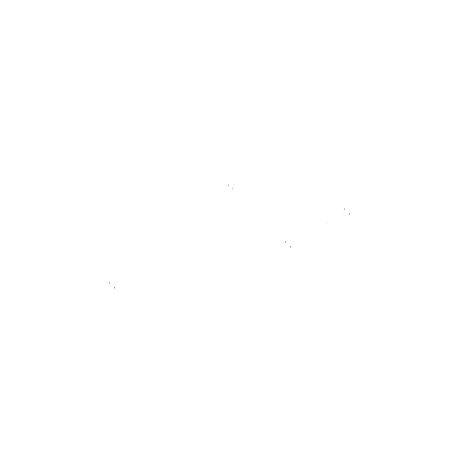 C=C1NC(C)=CC(CC)=C1CNC(=C)c1c(C)c(N(CC)C2CCCCC2)cc(-c2ccc3c(c2)CCC3N2CCCCC2)c1Cl